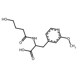 COc1cc(CC(NC(=O)CCCO)C(=O)O)ccn1